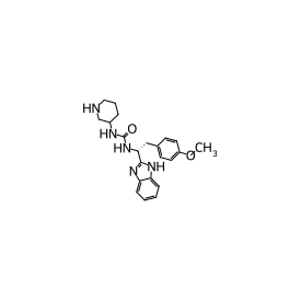 COc1ccc(C[C@@H](NC(=O)NC2CCCNC2)c2nc3ccccc3[nH]2)cc1